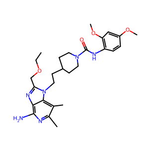 CCOCc1nc2c(N)nc(C)c(C)c2n1CCC1CCN(C(=O)Nc2ccc(OC)cc2OC)CC1